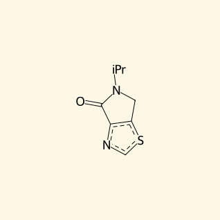 CC(C)N1Cc2scnc2C1=O